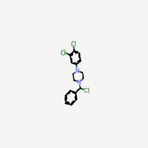 Clc1ccc(N2CCN(C(Cl)c3ccccc3)CC2)cc1Cl